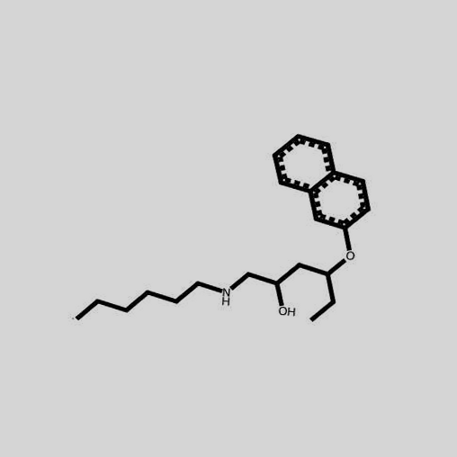 [CH2]CCCCCNCC(O)CC(CC)Oc1ccc2ccccc2c1